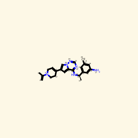 C=C(C)N1CC=C(c2cc3c(N[C@H](C)c4cc(N)cc(C(F)(F)F)c4)ncnn3c2)CC1